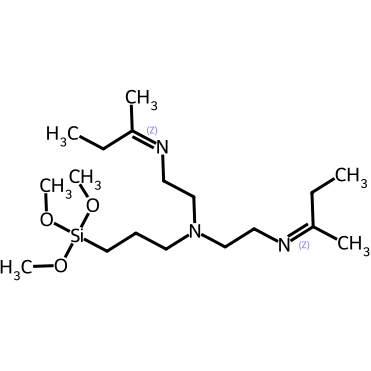 CC/C(C)=N\CCN(CCC[Si](OC)(OC)OC)CC/N=C(/C)CC